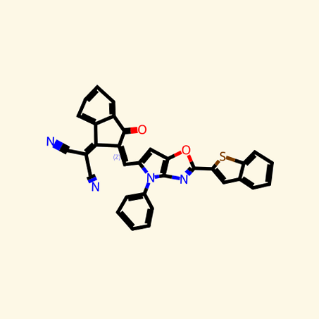 N#CC(C#N)=C1/C(=C/c2cc3oc(-c4cc5ccccc5s4)nc3n2-c2ccccc2)C(=O)c2ccccc21